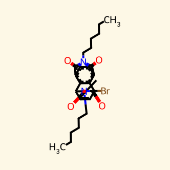 CCCCCCN1C(=O)C2C=CC(Br)(C1=O)c1c2c2ccc1c(=O)n(CCCCCC)c2=O